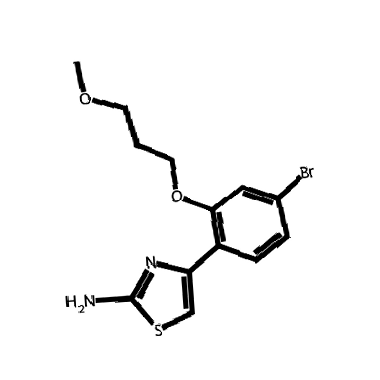 COCCCOc1cc(Br)ccc1-c1csc(N)n1